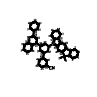 CC1(C)c2ccccc2-c2cc3c4ccccc4n(C4C=C(c5cc(-c6ccccc6)nc6ccccc56)C=C(c5cccc(C#N)c5)C4)c3cc21